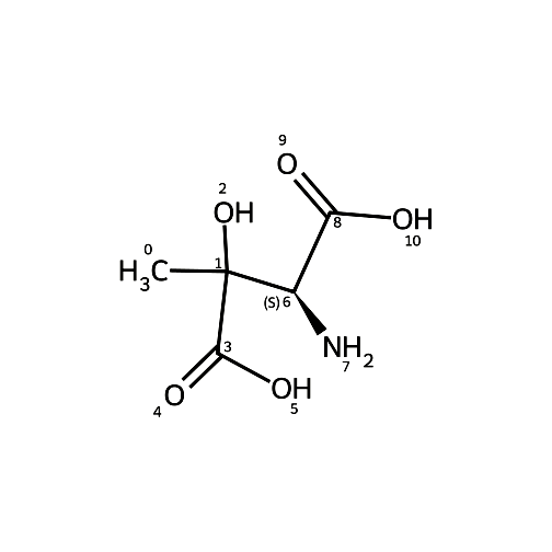 CC(O)(C(=O)O)[C@H](N)C(=O)O